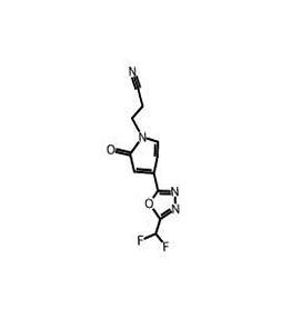 N#CCCn1ccc(-c2nnc(C(F)F)o2)cc1=O